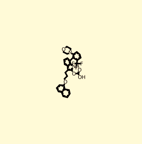 O=C(O)Oc1[nH]c2c(-c3c(N4CCOCC4)cccc3C(F)(F)F)cccc2c1CCCOc1cccc2ccccc12